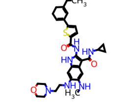 CCC1=CC(c2ccc(C(=O)Nc3[nH]c4cc(NCCN5CCOCC5)c(NC)cc4c3C(=O)NC3CC3)s2)=CCC1